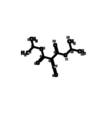 CC(C)OC(=O)C(=C=O)C(=O)OC(C)C